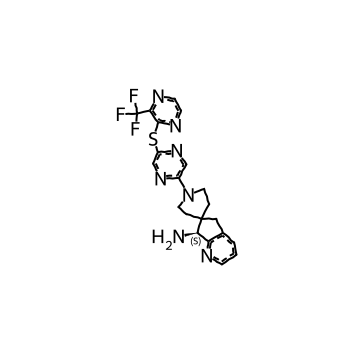 N[C@@H]1c2ncccc2CC12CCN(c1cnc(Sc3nccnc3C(F)(F)F)cn1)CC2